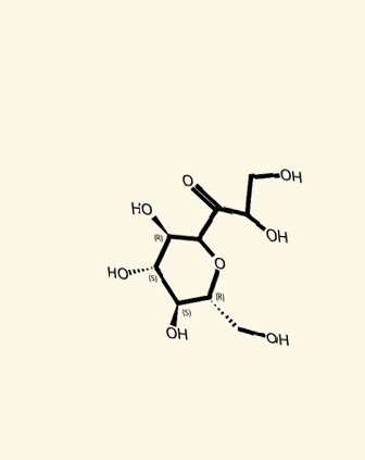 O=C(C(O)CO)C1O[C@H](CO)[C@@H](O)[C@H](O)[C@H]1O